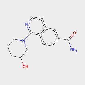 NC(=O)c1ccc2c(N3CCCC(O)C3)nccc2c1